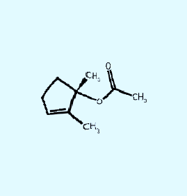 CC(=O)O[C@@]1(C)CCC=C1C